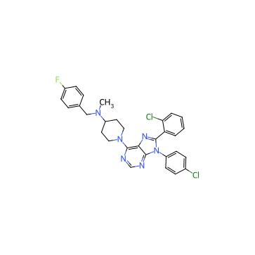 CN(Cc1ccc(F)cc1)C1CCN(c2ncnc3c2nc(-c2ccccc2Cl)n3-c2ccc(Cl)cc2)CC1